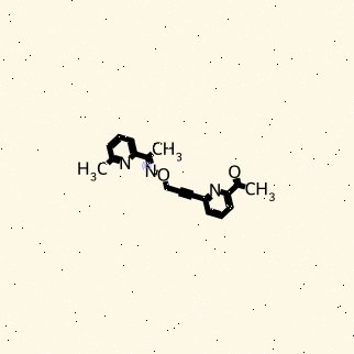 CC(=O)c1cccc(C#CCO/N=C(\C)c2cccc(C)n2)n1